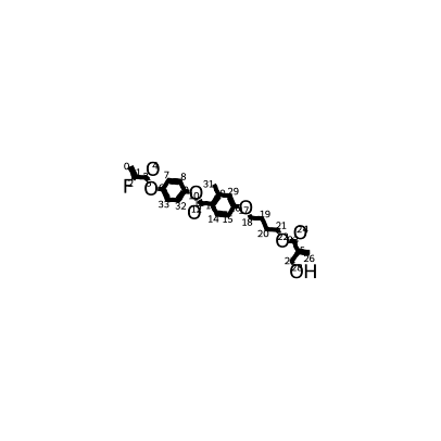 C=C(F)C(=O)Oc1ccc(OC(=O)c2ccc(OCCCCOC(=O)C(=C)CO)cc2C)cc1